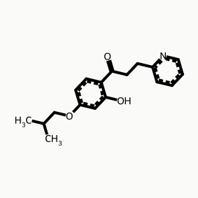 CC(C)COc1ccc(C(=O)CCc2ccccn2)c(O)c1